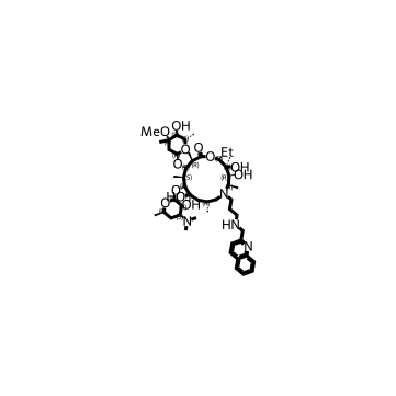 CC[C@H]1OC(=O)[C@H](C)[C@@H](O[C@H]2C[C@@](C)(OC)[C@@H](O)[C@H](C)O2)[C@H](C)[C@@H](O[C@@H]2O[C@H](C)C[C@H](N(C)C)[C@H]2O)[C@](C)(O)C[C@@H](C)CN(CCCNCc2ccc3ccccc3n2)[C@H](C)[C@@H](O)[C@]1(C)O